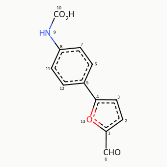 O=Cc1ccc(-c2ccc(NC(=O)O)cc2)o1